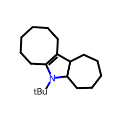 CC(C)(C)N1C2=C(CCCCCC2)C2CCCCCC21